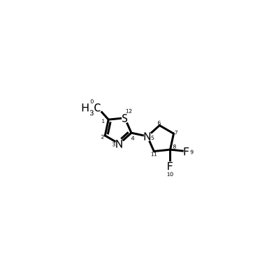 Cc1cnc(N2CCC(F)(F)C2)s1